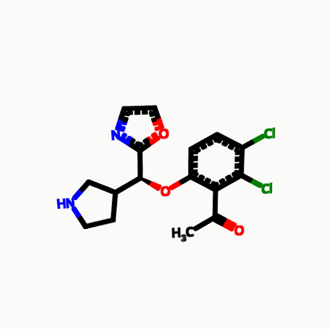 CC(=O)c1c(O[C@H](c2ncco2)C2CCNC2)ccc(Cl)c1Cl